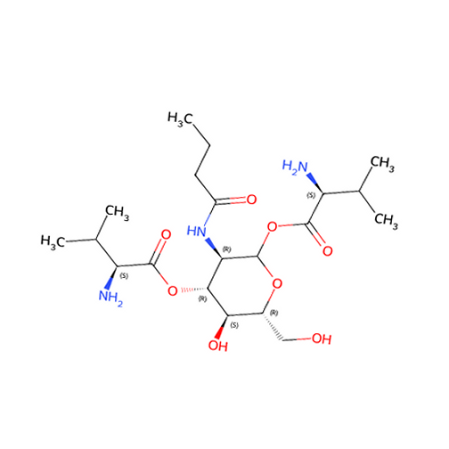 CCCC(=O)N[C@H]1C(OC(=O)[C@@H](N)C(C)C)O[C@H](CO)[C@@H](O)[C@@H]1OC(=O)[C@@H](N)C(C)C